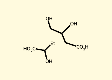 CCC(O)C(=O)O.O=C(O)CC(O)CO